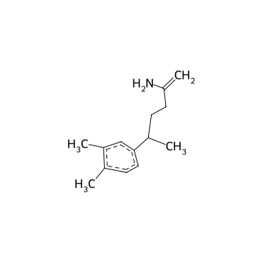 C=C(N)CCC(C)c1ccc(C)c(C)c1